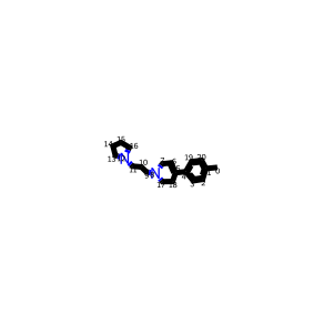 Cc1ccc(C2=CCN(CCCN3CCCC3)CC2)cc1